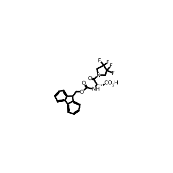 O=C(O)C[C@H](NC(=O)OCC1c2ccccc2-c2ccccc21)C(=O)N1CC(F)(F)C(F)(F)C1